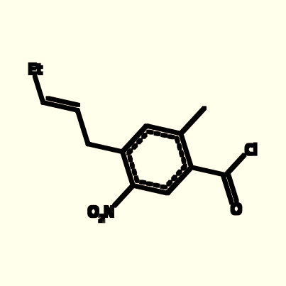 CC/C=C/Cc1cc(C)c(C(=O)Cl)cc1[N+](=O)[O-]